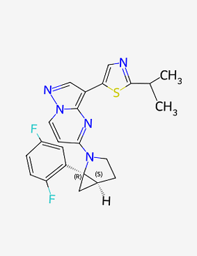 CC(C)c1ncc(-c2cnn3ccc(N4CC[C@H]5C[C@]54c4cc(F)ccc4F)nc23)s1